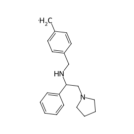 [CH2]c1ccc(CNC(CN2CCCC2)c2ccccc2)cc1